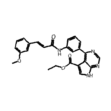 CCOC(=O)c1c[nH]c2ncnc(-c3cccc(NC(=O)C=Cc4cccc(OC)c4)c3)c12